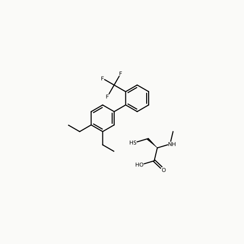 CCc1ccc(-c2ccccc2C(F)(F)F)cc1CC.CN[C@H](CS)C(=O)O